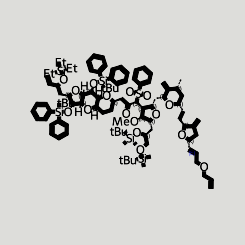 C=CCOC/C=C/[C@H]1CC(=C)[C@H](CC[C@H]2C[C@@H](C)C(=C)[C@@H](C[C@@H]3O[C@H](C[C@@H](CO[Si](C)(C)C(C)(C)C)O[Si](C)(C)C(C)(C)C)[C@H](OC)[C@H]3[C@@H](C(=O)C[C@H]3CC[C@@H]4O[C@@H]5[C@@H](O[C@H](CC(C=C)O[Si](CC)(CC)CC)[C@@H]5O[Si](c5ccccc5)(c5ccccc5)C(C)(C)C)[C@@H](O[Si](c5ccccc5)(c5ccccc5)C(C)(C)C)[C@H]4O3)S(=O)(=O)c3ccccc3)O2)O1